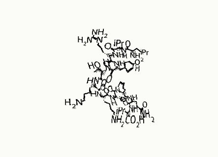 CC(C)C[C@H](N)C(=O)N[C@H](C(=O)N[C@@H](CCCN=C(N)N)C(=O)N[C@@H](Cc1ccc(O)cc1)C(=O)N[C@H](C(=O)N[C@@H](CCCCN)C(=O)N[C@@H](CCCCN)C(=O)N[C@H](C(=O)N1CCC[C@H]1C(=O)N[C@@H](CCC(N)=O)C(=O)N[C@H](C(=O)O)C(C)C)C(C)C)[C@@H](C)O)C(C)C